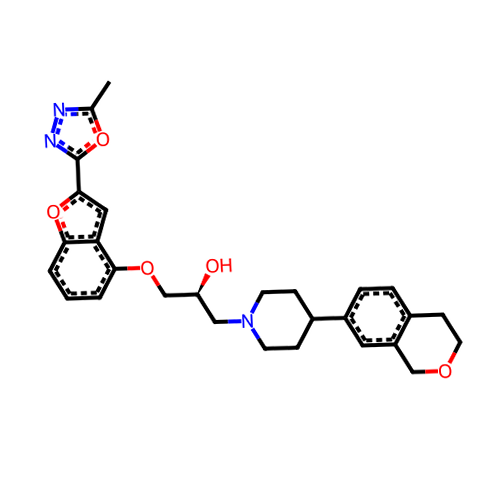 Cc1nnc(-c2cc3c(OC[C@@H](O)CN4CCC(c5ccc6c(c5)COCC6)CC4)cccc3o2)o1